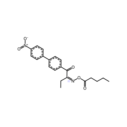 CCCCC(=O)O/N=C(/CC)C(=O)c1ccc(-c2ccc([N+](=O)[O-])cc2)cc1